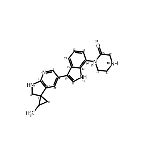 CC1CC12CNc1ncc(-c3c[nH]c4c(N5CCNCC5=O)cccc34)cc12